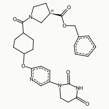 O=C1CCN(c2ccc(OC3CCC(C(=O)N4CC[C@@H](C(=O)OCc5ccccc5)C4)CC3)nc2)C(=O)N1